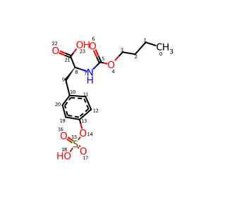 CCCCOC(=O)N[C@@H](Cc1ccc(OS(=O)(=O)O)cc1)C(=O)O